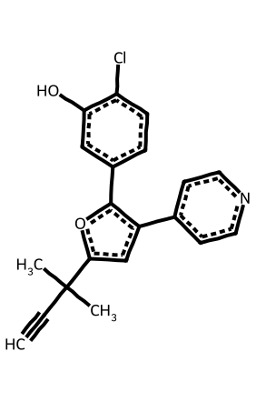 C#CC(C)(C)c1cc(-c2ccncc2)c(-c2ccc(Cl)c(O)c2)o1